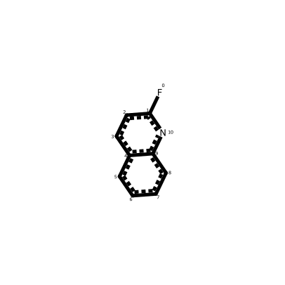 Fc1c[c]c2ccccc2n1